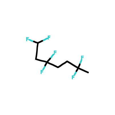 CC(F)(F)CCC(F)(F)CC(F)F